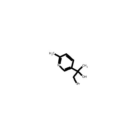 Cc1ccc(C(C)(O)CC(C)C)cn1